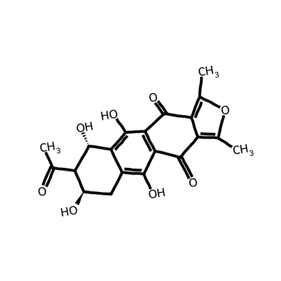 CC(=O)C1[C@H](O)Cc2c(O)c3c(c(O)c2[C@H]1O)C(=O)c1c(C)oc(C)c1C3=O